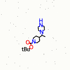 CC(C1CCN(C(=O)OC(C)(C)C)CC1)N1CCNCC1